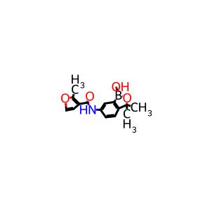 Cc1occc1C(=O)Nc1ccc2c(c1)B(O)OC2(C)C